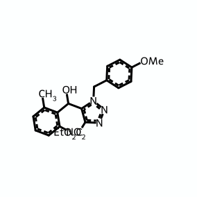 CCOC(=O)c1nnn(Cc2ccc(OC)cc2)c1C(O)c1c(C)cccc1[N+](=O)[O-]